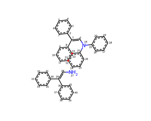 C(=C(c1ccccc1)c1ccccc1)N(c1ccccc1)c1ccccc1.NC=C(c1ccccc1)c1ccccc1